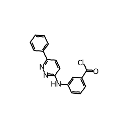 O=C(Cl)c1cccc(Nc2ccc(-c3ccccc3)nn2)c1